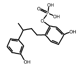 CC(CCc1ccc(O)cc1OP(=O)(O)O)c1cccc(O)c1